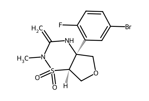 C=C1N[C@@]2(c3cc(Br)ccc3F)COC[C@H]2S(=O)(=O)N1C